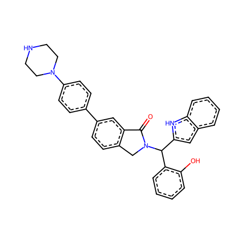 O=C1c2cc(-c3ccc(N4CCNCC4)cc3)ccc2CN1C(c1cc2ccccc2[nH]1)c1ccccc1O